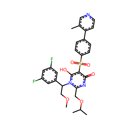 COCC(c1cc(F)cc(F)c1)n1c(COC(C)C)nc(=O)c(S(=O)(=O)c2ccc(-c3ccncc3C)cc2)c1O